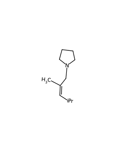 C/C(=C/C(C)C)CN1CCCC1